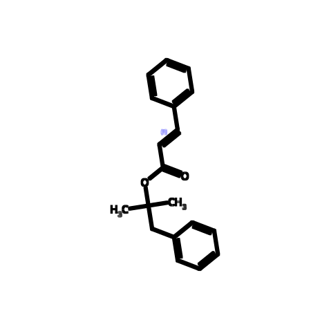 CC(C)(Cc1ccccc1)OC(=O)/C=C/c1ccccc1